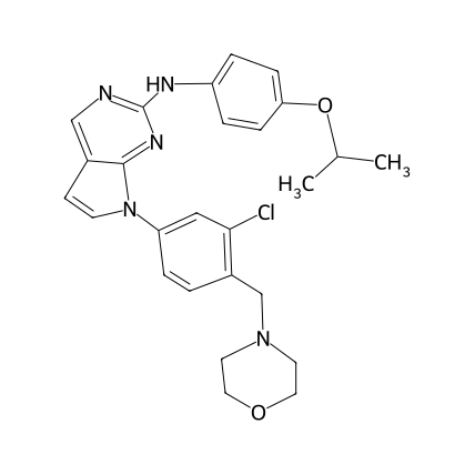 CC(C)Oc1ccc(Nc2ncc3ccn(-c4ccc(CN5CCOCC5)c(Cl)c4)c3n2)cc1